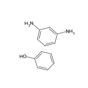 Nc1cccc(N)c1.Oc1ccccc1